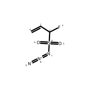 C=CC(F)S(=O)(=O)N=[N+]=[N-]